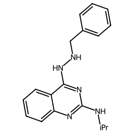 CC(C)Nc1nc(NNCc2ccccc2)c2ccccc2n1